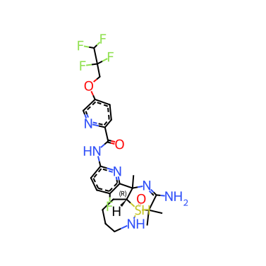 CC1(c2nc(NC(=O)c3ccc(OCC(F)(F)C(F)F)cn3)ccc2F)N=C(N)C(C)(C)[SH]2(=O)NCCCC[C@H]12